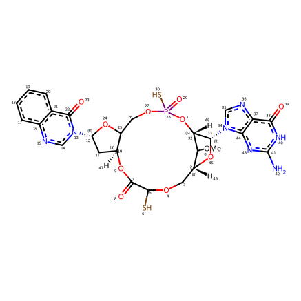 COC1[C@H]2COC(S)C(=O)O[C@H]3C[C@H](n4cnc5ccccc5c4=O)OC3COP(=O)(S)O[C@@H]1[C@H](n1cnc3c(=O)[nH]c(N)nc31)O2